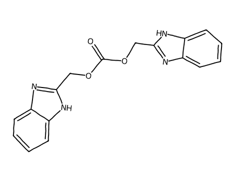 O=C(OCc1nc2ccccc2[nH]1)OCc1nc2ccccc2[nH]1